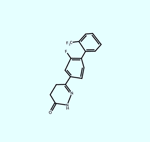 O=C1CCC(c2ccc(-c3ccccc3C(F)(F)F)c(F)c2)=NN1